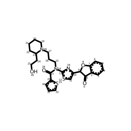 O=C1c2ccccc2OC1c1csc(N(CCCN2CCCCC2CCO)C(=O)c2cccs2)n1